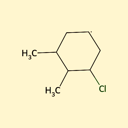 CC1C[CH]CC(Cl)C1C